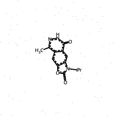 Cc1n[nH]c(=O)c2cc3c(cc12)oc(=O)n3C(C)C